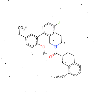 CCOc1ccc(CC(=O)O)cc1-c1ccc(F)c2c1CN(C(=O)C1CCc3cccc(OC)c3C1)CC2